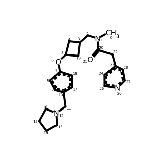 CN(CC1CC(Oc2ccc(CN3CCCC3)cc2)C1)C(=O)Cc1ccncc1